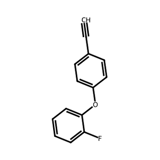 C#Cc1ccc(Oc2ccccc2F)cc1